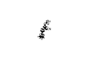 CC(C)(C)C(=O)ON1CC(CC#N)(n2cc(B3OC(C)(C)C(C)(C)O3)cn2)C1